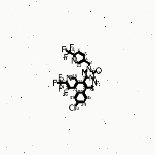 O=c1n(Cc2ccc(C(F)(F)F)nc2)nc2c(-c3cnc(C(F)(F)F)c(F)c3)c(-c3ccc(Cl)cc3)cnn12